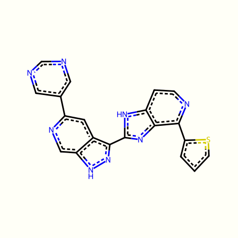 c1csc(-c2nccc3[nH]c(-c4n[nH]c5cnc(-c6cncnc6)cc45)nc23)c1